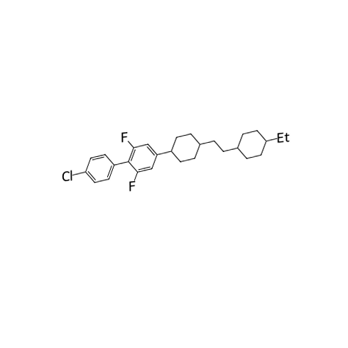 CCC1CCC(CCC2CCC(c3cc(F)c(-c4ccc(Cl)cc4)c(F)c3)CC2)CC1